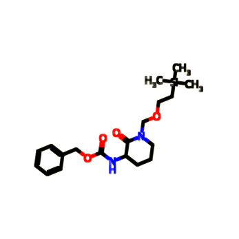 C[Si](C)(C)CCOCN1CCCC(NC(=O)OCc2ccccc2)C1=O